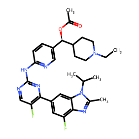 CCN1CCC([C@H](OC(C)=O)c2ccc(Nc3ncc(F)c(-c4cc(F)c5nc(C)n(C(C)C)c5c4)n3)nc2)CC1